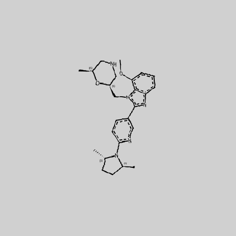 COc1cccc2nc(-c3ccc(N4[C@@H](C)CC[C@@H]4C)nc3)n(C[C@@H]3CNC[C@H](C)O3)c12